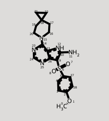 COc1ccc(S(=O)(=O)c2c(N)[nH]c3c(N4CCC5(CC4)CC5)ncnc23)cc1